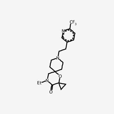 CCN1CC2(CCN(CCc3ccc(C(F)(F)F)nc3)CC2)OC2(CC2)C1=O